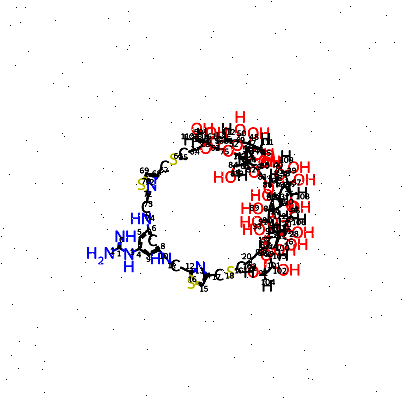 N=C(N)Nc1cc2cc(c1)NCc1nc(cs1)CSC[C@H]1O[C@@H]3O[C@H]4C(O)C(O)[C@H](O[C@@H]4CO)O[C@H]4C(O)C(O)[C@H](O[C@@H]4CO)O[C@H]4C(O)C(O)[C@H](O[C@@H]4CO)O[C@H]4C(O)C(O)[C@H](O[C@@H]4CSCc4csc(n4)CN2)O[C@H]2C(O)C(O)[C@H](O[C@@H]2CO)O[C@H]2C(O)C(O)[C@H](O[C@@H]2CO)O[C@H]1C(O)C3O